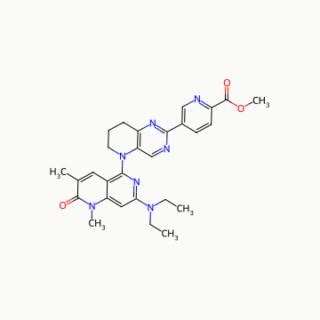 CCN(CC)c1cc2c(cc(C)c(=O)n2C)c(N2CCCc3nc(-c4ccc(C(=O)OC)nc4)ncc32)n1